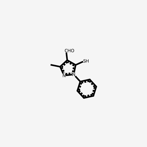 Cc1nn(-c2ccccc2)c(S)c1C=O